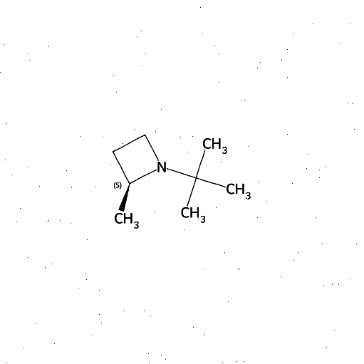 C[C@H]1CCN1C(C)(C)C